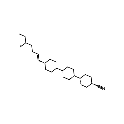 CCC(F)CCC=C[C@H]1CC[C@H]([C@H]2CC[C@H]([C@H]3CC[C@H](C#N)CC3)CC2)CC1